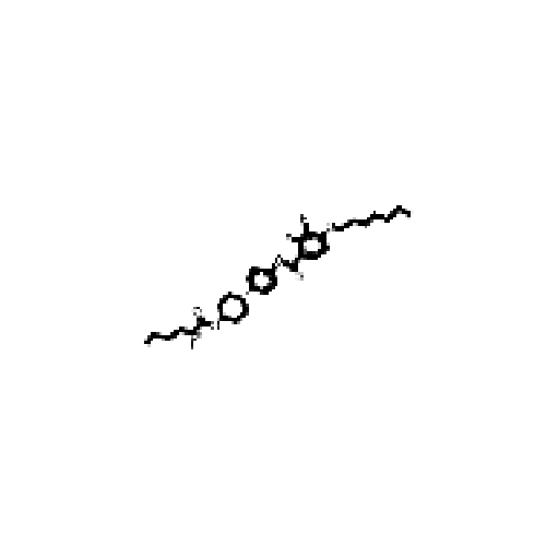 CCCCCCCOc1ccc(C(=O)Oc2ccc([C@H]3CC[C@H](OC(=O)[C@H](F)CCCC)CC3)cc2)c(F)c1F